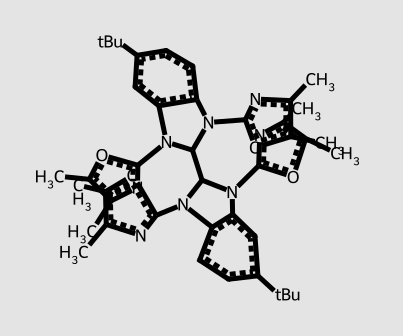 Cc1nc(N2c3ccc(C(C)(C)C)cc3N(c3nc(C)c(C)o3)C2C2N(c3nc(C)c(C)o3)c3ccc(C(C)(C)C)cc3N2c2nc(C)c(C)o2)oc1C